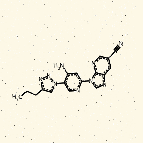 CCCc1cn(-c2cnc(-n3cnc4cc(C#N)cnc43)cc2N)nn1